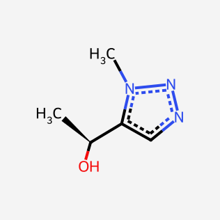 C[C@H](O)c1cnnn1C